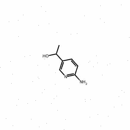 CC(O)c1ccc(N)nc1